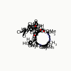 CCC(C)(C)C(=O)O[C@H]1C[C@@H](C)C=C2C=C[C@H](C)[C@H](CC[C@@H]3C[C@@H](O)CC(=O)O3)[C@H]21.CO[C@H]1C[C@@H]2CC[C@@H](C)[C@@](O)(O2)C(=O)C(=O)N2CCCC[C@H]2C(=O)O[C@H]([C@H](C)C[C@@H]2CC[C@@H](O)[C@H](OC)C2)CC(=O)[C@H](C)/C=C(\C)[C@@H](O)[C@@H](OC)C(=O)[C@H](C)C[C@H](C)/C=C/C=C/C=C/1C.O=P1(N(CCCl)CCCl)NCCCO1